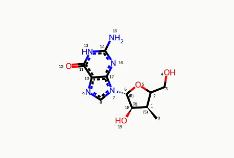 C[C@@H]1C(CO)O[C@@H](n2cnc3c(=O)[nH]c(N)nc32)[C@@H]1O